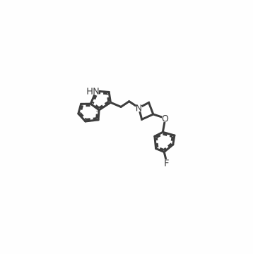 Fc1ccc(OC2CN(CCc3c[nH]c4ccccc34)C2)cc1